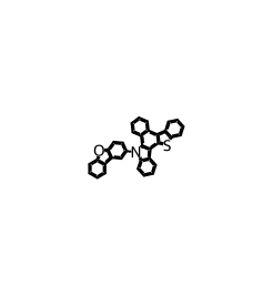 c1ccc2c(c1)oc1ccc(-n3c4ccccc4c4c5sc6ccccc6c5c5ccccc5c43)cc12